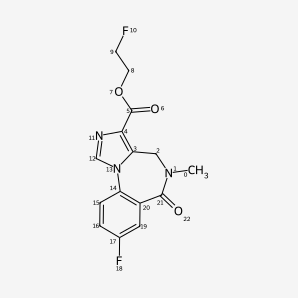 CN1Cc2c(C(=O)OCCF)ncn2-c2ccc(F)cc2C1=O